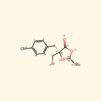 [C-]#[N+]c1ccc(C[C@@]2(CBr)O[C@H](C(C)(C)C)OC2=O)cc1